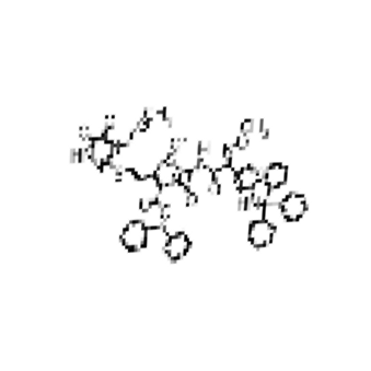 COCCn1c(SC=CC2=C(C(=O)OC(c3ccccc3)c3ccccc3)N3C(=O)C(NC(=O)C(=NOC)c4csc(NC(c5ccccc5)(c5ccccc5)c5ccccc5)n4)C3[S+]([O-])C2)n[nH]c(=O)c1=O